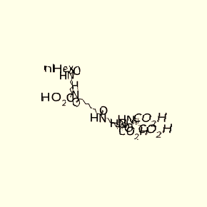 CCCCCCC(=O)NCCCCC(NC(=O)CCCCCCC(=O)NCCCC[C@H](NC(=O)N[C@@H](CCC(=O)O)C(=O)O)C(=O)O)C(=O)O